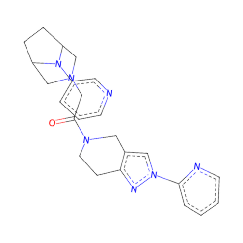 O=C(CN1CC2CCC(C1)N2c1cccnc1)N1CCc2nn(-c3ccccn3)cc2C1